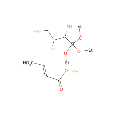 CCO[Si](OCC)(OCC)C(S)C(S)CS.O=C(O)/C=C/C(=O)OS